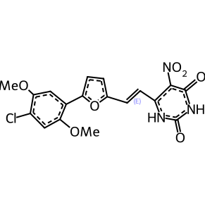 COc1cc(-c2ccc(/C=C/c3[nH]c(=O)[nH]c(=O)c3[N+](=O)[O-])o2)c(OC)cc1Cl